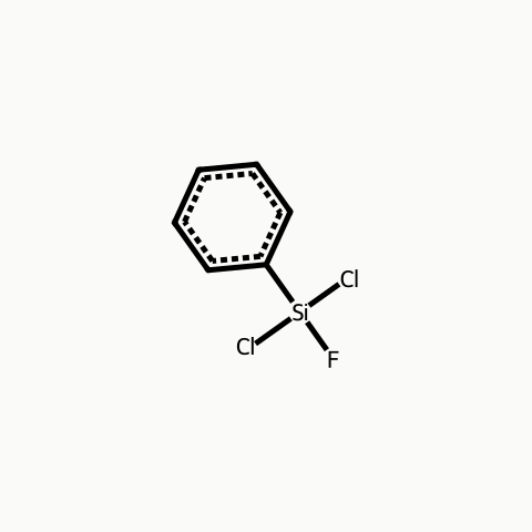 F[Si](Cl)(Cl)c1ccccc1